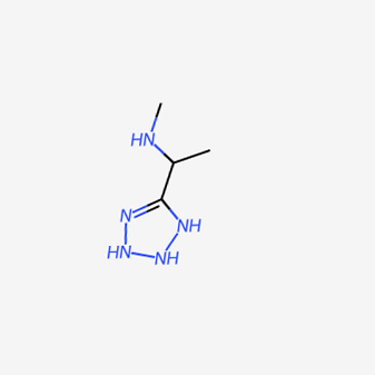 CNC(C)C1=NNNN1